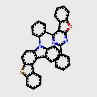 c1ccc(-c2nc(-c3ccccc3-n3c4ccccc4c4c5c(ccc43)sc3ccccc35)c3c(n2)oc2ccccc23)cc1